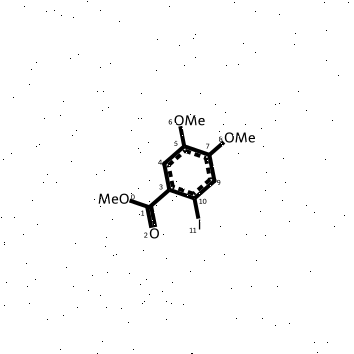 COC(=O)c1cc(OC)c(OC)cc1I